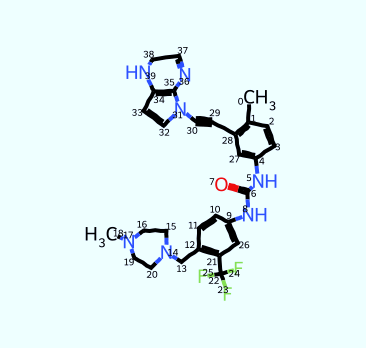 Cc1ccc(NC(=O)Nc2ccc(CN3CCN(C)CC3)c(C(F)(F)F)c2)cc1C#Cn1ccc2c1N=CCN2